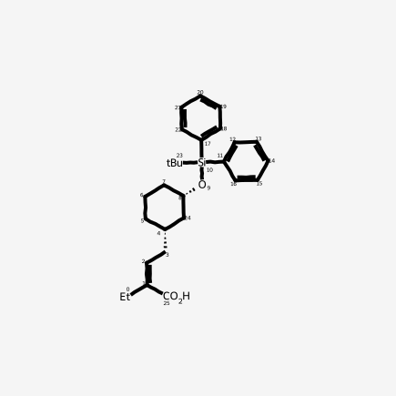 CCC(=CC[C@@H]1CCC[C@H](O[Si](c2ccccc2)(c2ccccc2)C(C)(C)C)C1)C(=O)O